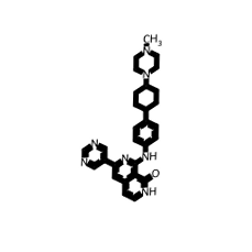 CN1CCN(C2CCC(c3ccc(Nc4nc(-c5cncnc5)cc5cc[nH]c(=O)c45)cc3)CC2)CC1